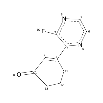 O=C1C=C(c2nccnc2F)CCC1